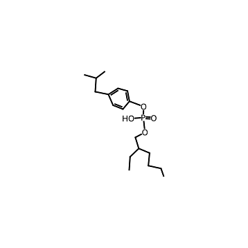 CCCCC(CC)COP(=O)(O)Oc1ccc(CC(C)C)cc1